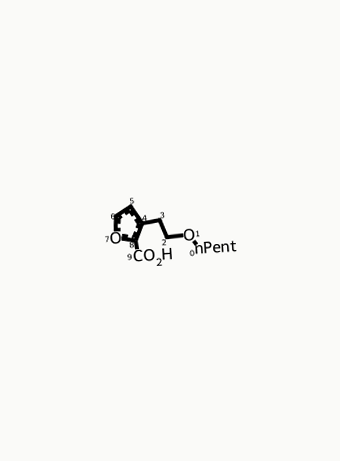 CCCCCOCCc1ccoc1C(=O)O